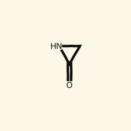 O=C1CN1